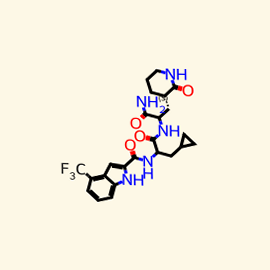 NC(=O)C(C[C@@H]1CCCNC1=O)NC(=O)C(CC1CC1)NC(=O)c1cc2c(C(F)(F)F)cccc2[nH]1